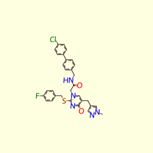 Cn1cc(Cc2cn(CC(=O)NCc3ccc(-c4ccc(Cl)cc4)cc3)c(SCc3ccc(F)cc3)nc2=O)cn1